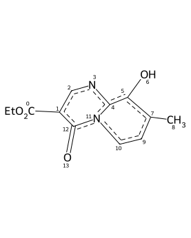 CCOC(=O)c1cnc2c(O)c(C)ccn2c1=O